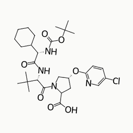 CC(C)(C)OC(=O)N[C@H](C(=O)N[C@H](C(=O)N1C[C@H](Oc2ccc(Cl)cn2)CC1C(=O)O)C(C)(C)C)C1CCCCC1